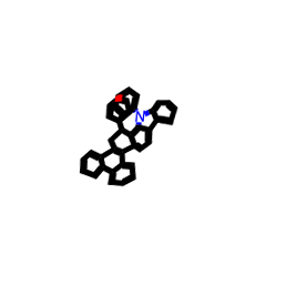 c1ccc(C2Cc3c(c4ccccc4c4ccccc34)-c3ccc4c5ccccc5n(-c5ccccc5)c4c32)cc1